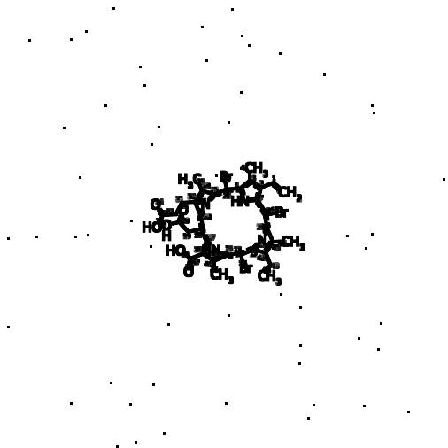 C=Cc1c(C)c2[nH]c1c(Br)c1nc(c(Br)c3[nH]c(c(CC(=O)O)c4nc(c2Br)C(C)=C4CCC(=O)O)c(C(=O)O)c3C)C(CC)=C1C